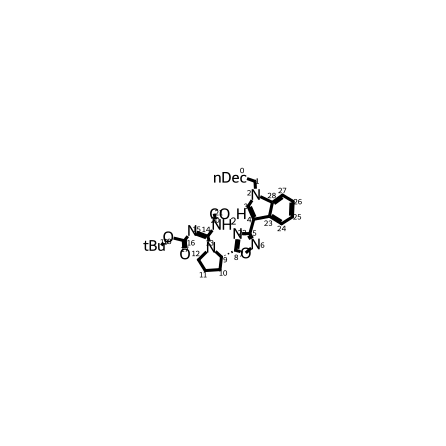 CCCCCCCCCCCn1cc(-c2noc([C@@H]3CCCN3/C(=N\C(=O)OC(C)(C)C)NC(=O)O)n2)c2ccccc21